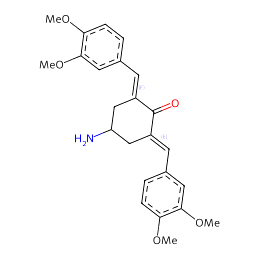 COc1ccc(/C=C2\CC(N)C/C(=C\c3ccc(OC)c(OC)c3)C2=O)cc1OC